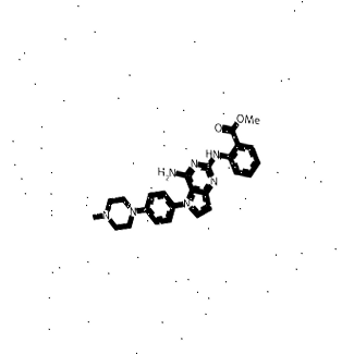 COC(=O)c1ccccc1Nc1nc(N)c2c(ccn2-c2ccc(N3CCN(C)CC3)cc2)n1